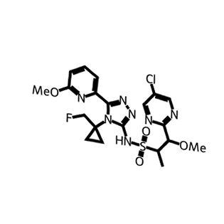 COc1cccc(-c2nnc(NS(=O)(=O)C(C)C(OC)c3ncc(Cl)cn3)n2C2(CF)CC2)n1